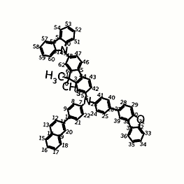 CC1(C)c2cc(N(c3ccc(-c4ccc5ccccc5c4)cc3)c3ccc(-c4ccc5oc6ccccc6c5c4)cc3)ccc2-c2ccc(-n3c4ccccc4c4ccccc43)cc21